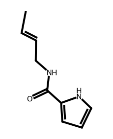 CC=CCNC(=O)c1ccc[nH]1